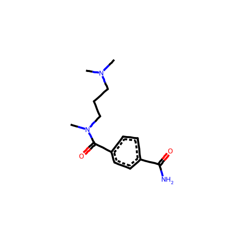 CN(C)CCCN(C)C(=O)c1ccc(C(N)=O)cc1